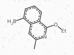 Bc1cccc2c(OCC)nc(C)cc12